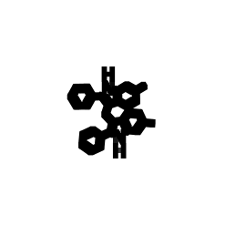 Cc1ccc2c(Cc3c(-c4ccccc4)[nH]c4cc(C)ccc34)c(-c3ccccc3)[nH]c2c1